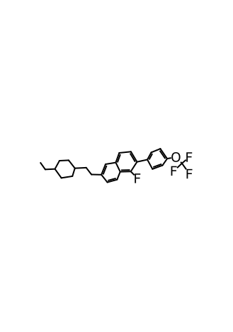 CCC1CCC(CCc2ccc3c(F)c(-c4ccc(OC(F)(F)F)cc4)ccc3c2)CC1